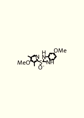 COc1ccc2c(c1)NC([S+]([O-])c1ncc(C)c(OC)c1C)N2